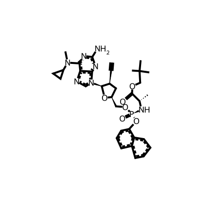 C#C[C@H]1C[C@@H](CO[P@](=O)(N[C@@H](C)C(=O)OCC(C)(C)C)Oc2cccc3ccccc23)O[C@H]1n1cnc2c(N(C)C3CC3)nc(N)nc21